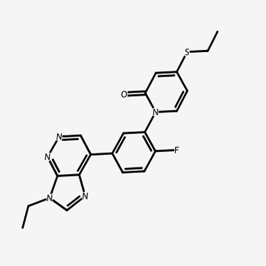 CCSc1ccn(-c2cc(-c3cnnc4c3ncn4CC)ccc2F)c(=O)c1